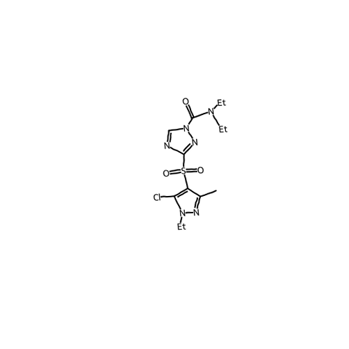 CCN(CC)C(=O)n1cnc(S(=O)(=O)c2c(C)nn(CC)c2Cl)n1